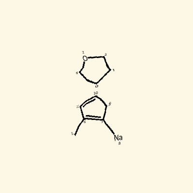 C1CCOC1.CC1=[C]([Na])CC=C1